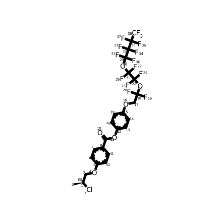 C[C@H](Cl)COc1ccc(C(=O)Oc2ccc(OCC(F)(F)OC(F)(F)C(F)(F)OC(F)(F)C(F)(F)C(F)(F)C(F)(F)F)cc2)cc1